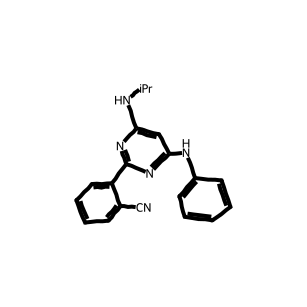 CC(C)Nc1cc(Nc2ccccc2)nc(-c2ccccc2C#N)n1